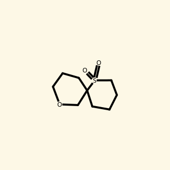 O=S1(=O)CCCCC12CCCOC2